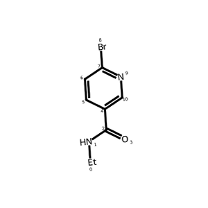 CCNC(=O)c1ccc(Br)nc1